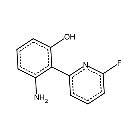 Nc1cccc(O)c1-c1cccc(F)n1